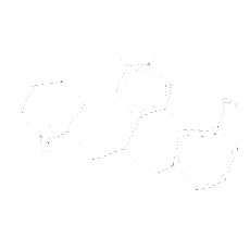 Brc1cccc(OC(CC2CCCCN2)c2ccccc2)c1